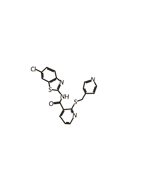 O=C(Nc1nc2ccc(Cl)cc2s1)c1cccnc1SCc1ccncc1